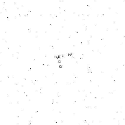 [Cl-].[Cl-].[Cl-].[NH4+].[Pt+2]